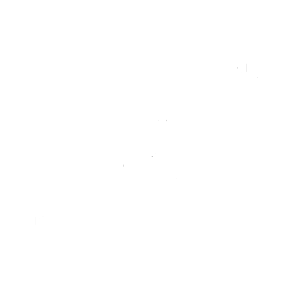 C#CCOC(=O)OCC=C